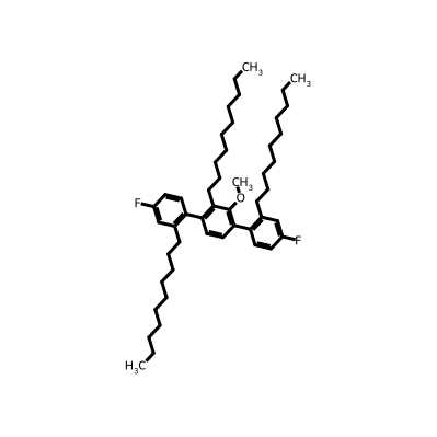 CCCCCCCCCCc1cc(F)ccc1-c1ccc(-c2ccc(F)cc2CCCCCCCCCC)c(OC)c1CCCCCCCCCC